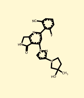 CC1(O)CCN(c2ccn(-c3cc(-c4c(F)cccc4C#N)nc4c3C(=O)NC4)n2)C1